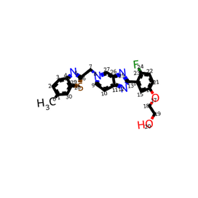 Cc1ccc2nc(Cn3ccc4nc(-c5cc(OCCO)ccc5F)nc-4c3)sc2c1